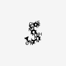 O=C(C1CC1)n1cc(-c2nccc(Nc3cc4c(cn3)nc(CO)n4C3CCC(F)(F)C3)n2)cn1